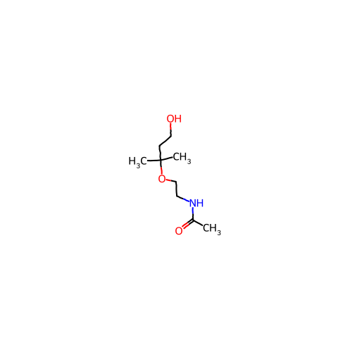 CC(=O)NCCOC(C)(C)CCO